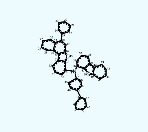 c1ccc(-c2ccc(N(c3cccc4c3oc3cc(-c5ccccc5)c5ccccc5c34)c3cccc4c3sc3ccccc34)cc2)cc1